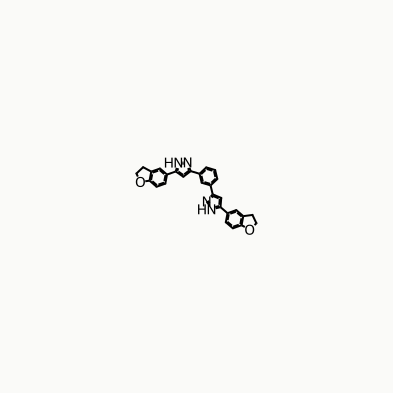 c1cc(-c2cc(-c3ccc4c(c3)CCO4)[nH]n2)cc(-c2cc(-c3ccc4c(c3)CCO4)[nH]n2)c1